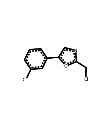 ClCc1ncc(-c2cccc(Cl)c2)o1